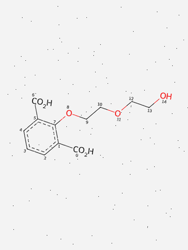 O=C(O)c1cccc(C(=O)O)c1OCCOCCO